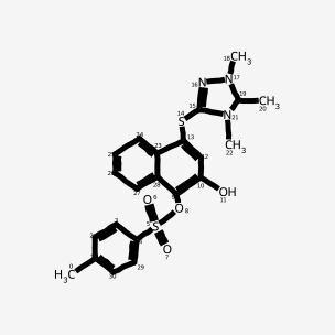 Cc1ccc(S(=O)(=O)Oc2c(O)cc(SC3=NN(C)C(C)N3C)c3ccccc23)cc1